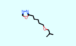 C[C](C)COCCCCCc1nnco1